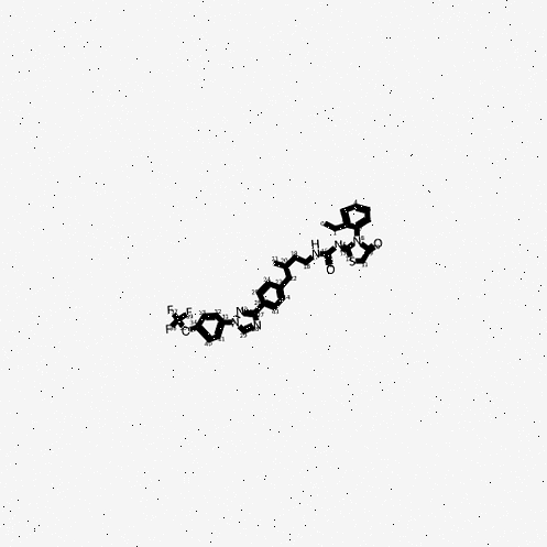 CCc1ccccc1N1C(=O)CS/C1=N\C(=O)NCCC(C)Cc1ccc(-c2ncn(-c3ccc(OC(F)(F)F)cc3)n2)cc1